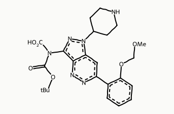 COCOc1ccccc1-c1cc2c(nn1)c(N(C(=O)O)C(=O)OC(C)(C)C)nn2C1CCNCC1